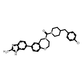 Cc1nc2ccc(-c3ccc4c(c3)CN(C(=O)N3CCC(Cc5ccc(Cl)cc5)CC3)CCO4)cc2[nH]1